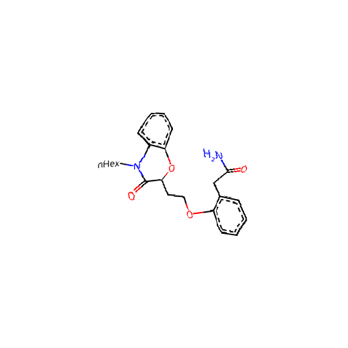 CCCCCCN1C(=O)C(CCOc2ccccc2CC(N)=O)Oc2ccccc21